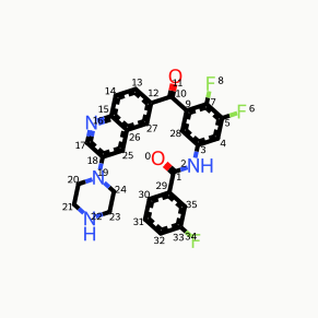 O=C(Nc1cc(F)c(F)c(C(=O)c2ccc3ncc(N4CCNCC4)cc3c2)c1)c1cccc(F)c1